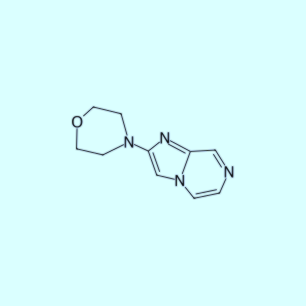 c1cn2cc(N3CCOCC3)nc2cn1